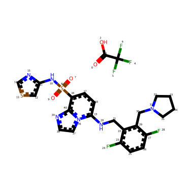 O=C(O)C(F)(F)F.O=S(=O)(Nc1cscn1)c1ccc(NCc2c(F)ccc(F)c2CN2CCCC2)n2ccnc12